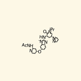 CC(=O)Nc1cc(Oc2ccc3nc(Nc4cc(-n5cccn5)cn(C(C)C)c4=O)n(C)c3c2)ccn1